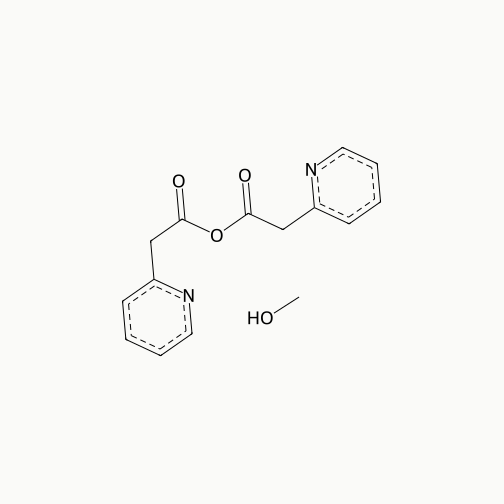 CO.O=C(Cc1ccccn1)OC(=O)Cc1ccccn1